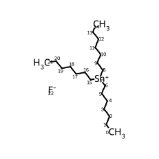 CCCCCC[CH2][Sn+]([CH2]CCCCCC)[CH2]CCCCCC.[F-]